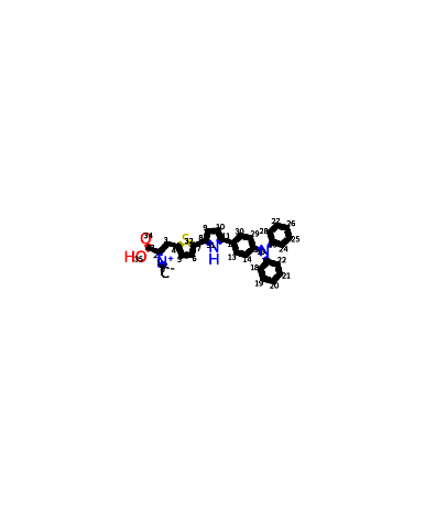 [C-]#[N+]/C(=C\c1ccc(-c2ccc(-c3ccc(N(c4ccccc4)c4ccccc4)cc3)[nH]2)s1)C(=O)O